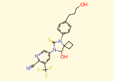 N#Cc1ncc(N2C(=S)N(c3ccc(CCCO)cc3)C3(CCC3)C2O)cc1C(F)(F)F